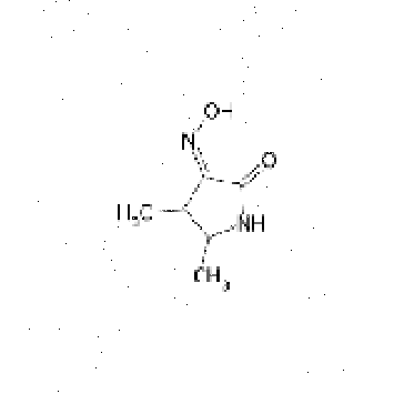 CC1NC(=O)C(=NO)C1C